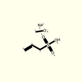 C=CCS(=O)(=O)O.C[O-].[Na+]